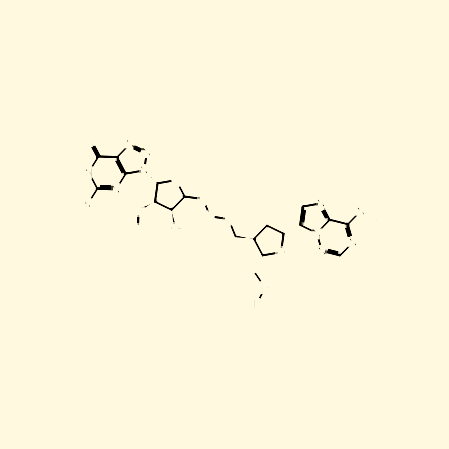 Nc1nc2c(nnn2[C@@H]2SC(OPOC[C@H]3C[C@H](c4cnc5c(N)ncnn45)O[C@@H]3COP)[C@@H](O)[C@H]2OS)c(=O)[nH]1